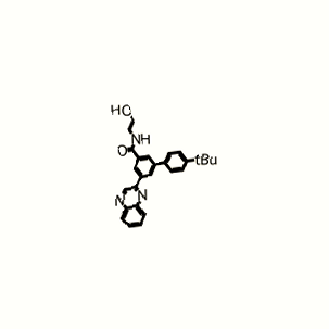 CC(C)(C)c1ccc(-c2cc(C(=O)NCCO)cc(-c3cnc4ccccc4n3)c2)cc1